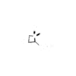 C.O=C(O)C1CCS1(=O)=O